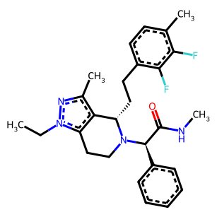 CCn1nc(C)c2c1CCN([C@@H](C(=O)NC)c1ccccc1)[C@H]2CCc1ccc(C)c(F)c1F